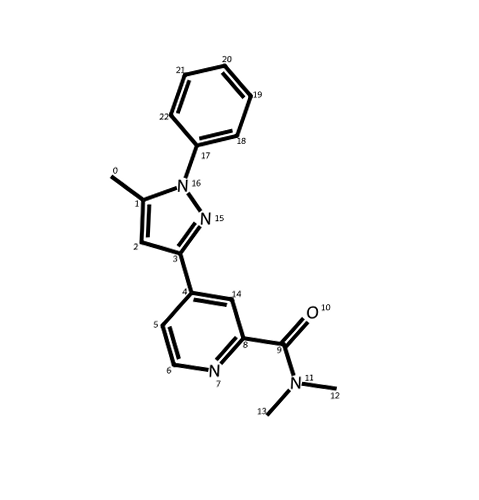 Cc1cc(-c2ccnc(C(=O)N(C)C)c2)nn1-c1ccccc1